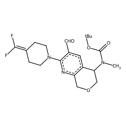 CN(C(=O)OC(C)(C)C)C1COCc2nc(N3CCC(=C(F)F)CC3)c(C=O)cc21